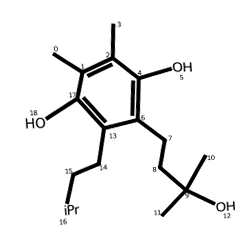 Cc1c(C)c(O)c(CCC(C)(C)O)c(CCC(C)C)c1O